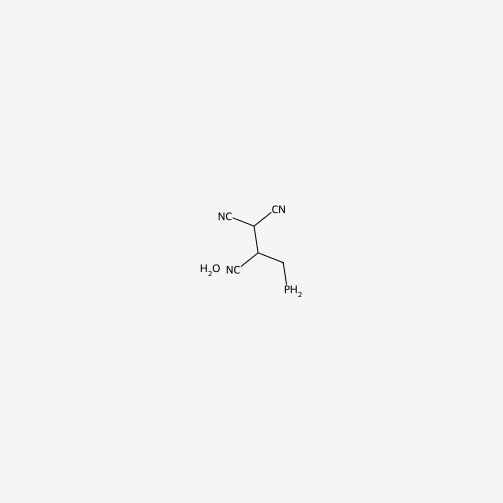 N#CC(C#N)C(C#N)CP.O